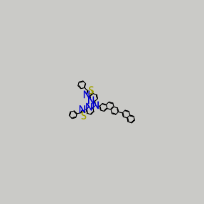 c1ccc(-c2nc3nc(N(c4ccc5c(ccc6cc(-c7ccc8ccccc8c7)ccc65)c4)c4ccc5sc(-c6ccccc6)nc5n4)ccc3s2)cc1